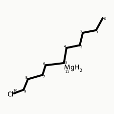 CCCCCCCCCCCl.[MgH2]